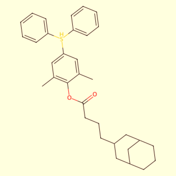 Cc1cc([SH](c2ccccc2)c2ccccc2)cc(C)c1OC(=O)CCCC1CC2CCCC(C1)C2